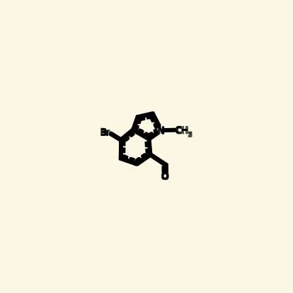 Cn1ccc2c(Br)ccc(C=O)c21